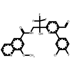 COc1cc(C(=O)NCC(O)(c2ccc(C=O)c(-c3ccc(F)c(Cl)c3)n2)C(F)(F)F)cc2cccnc12